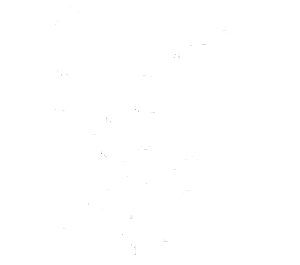 C=CC(=O)N1CC2(CCN(c3nc(OC4CCN(CCOC)CC4)nc4c(OCC(F)(F)C(F)(F)F)c(-c5c(C)ccc6[nH]ncc56)c(C=C)cc34)CC2)C1